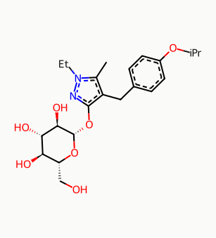 CCn1nc(O[C@@H]2O[C@H](CO)[C@@H](O)[C@H](O)[C@H]2O)c(Cc2ccc(OC(C)C)cc2)c1C